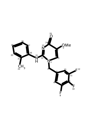 COc1cn(Cc2cc(F)c(F)c(F)c2)c(Nc2ccccc2C)nc1=O